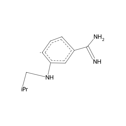 CC(C)CNc1[c]ccc(C(=N)N)c1